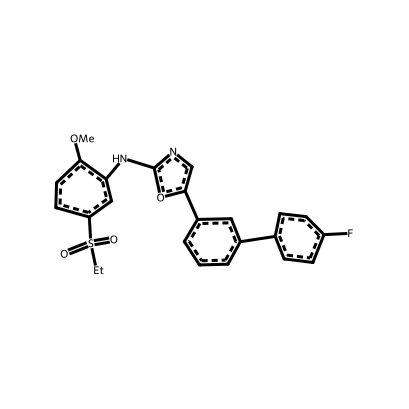 CCS(=O)(=O)c1ccc(OC)c(Nc2ncc(-c3cccc(-c4ccc(F)cc4)c3)o2)c1